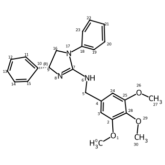 COc1cc(CNC2=N[C@H](c3ccccc3)CN2c2ccccc2)cc(OC)c1OC